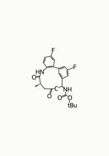 C[C@@H]1CC(=O)C[C@H](NC(=O)OC(C)(C)C)c2cc(F)cc(c2)-c2cc(F)ccc2NC1=O